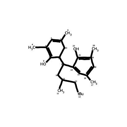 CC1=CC(C)=C(O)C(C(CC(C)CC(C)(C)C)c2cc(C)cc(C)c2O)C1